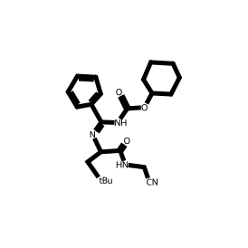 CC(C)(C)CC(/N=C(\NC(=O)OC1CCCCC1)c1ccccc1)C(=O)NCC#N